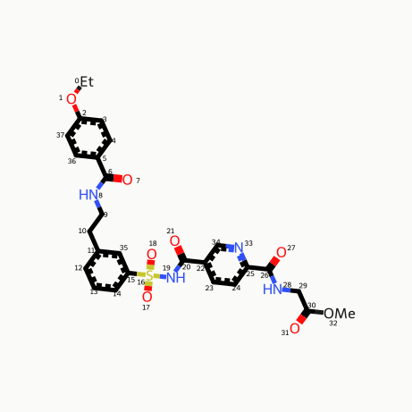 CCOc1ccc(C(=O)NCCc2cccc(S(=O)(=O)NC(=O)c3ccc(C(=O)NCC(=O)OC)nc3)c2)cc1